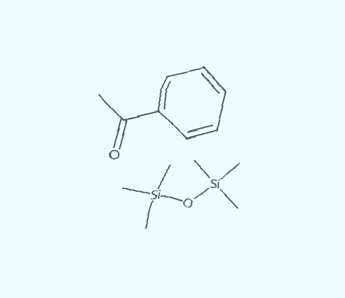 CC(=O)c1ccccc1.C[Si](C)(C)O[Si](C)(C)C